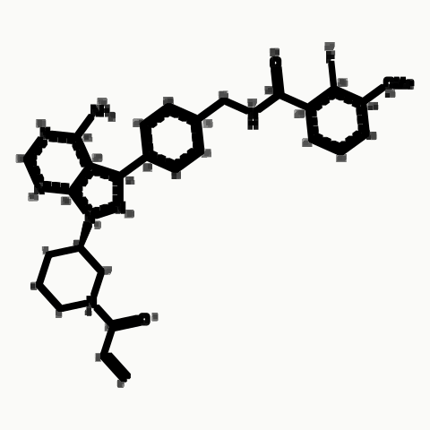 C=CC(=O)N1CCC[C@@H](n2nc(-c3ccc(CNC(=O)c4cccc(OC)c4F)cc3)c3c(N)ncnc32)C1